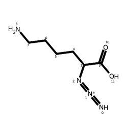 N=[N+]=NC(CCCCN)C(=O)O